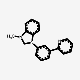 CN1CN(c2cccc(-c3ccccn3)c2)c2ccccc21